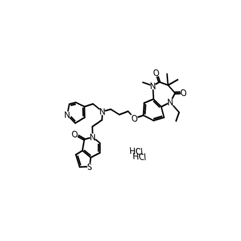 CCN1C(=O)C(C)(C)C(=O)N(C)c2cc(OCCCN(CCn3ccc4sccc4c3=O)Cc3ccncc3)ccc21.Cl.Cl